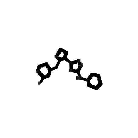 Fc1cc(Cc2sccc2-c2nnc(Nc3ccccc3)o2)ccn1